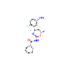 CC1OC(NC(=O)c2ccccc2)=N[C@@](C)(c2cc(N)ccc2F)[C@@H]1C